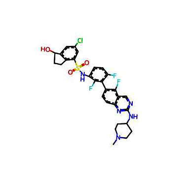 CN1CCC(Nc2ncc3c(F)c(-c4c(F)ccc(NS(=O)(=O)c5cc(Cl)cc6c5CCC6O)c4F)ccc3n2)CC1